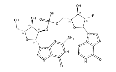 Nc1nc2c(ncn2[C@@H]2S[C@H](CO)[C@@H](O)[C@H]2OP(=O)(S)OC[C@H]2OC(n3cnc4c(=O)[nH]cnc43)[C@@H](F)[C@@H]2O)c(=O)[nH]1